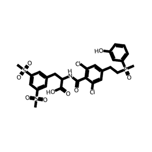 CP(=O)(CCc1cc(Cl)c(C(=O)NC(Cc2cc(S(C)(=O)=O)cc(S(C)(=O)=O)c2)C(=O)O)c(Cl)c1)c1cccc(O)c1